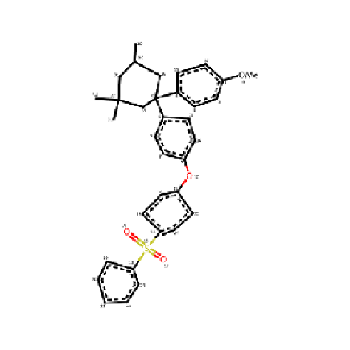 COc1ccc(C2(c3ccc(Oc4ccc(S(=O)(=O)c5ccccc5)cc4)cc3)CC(C)CC(C)(C)C2)cc1